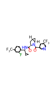 O=C(NC(c1ccc(C(F)(F)F)cc1F)C1CC1)[C@H]1C[C@H]2C[C@H]2N1C(=O)c1cncc(C(F)(F)F)c1